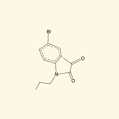 CCCN1C(=O)C(=O)c2cc(Br)ccc21